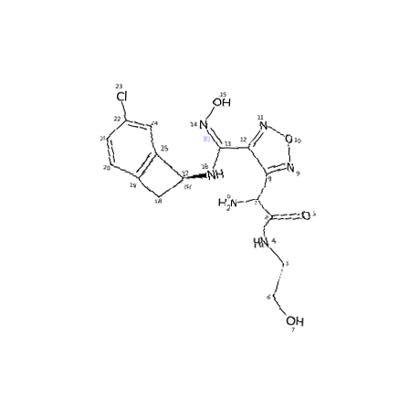 NC(C(=O)NCCO)c1nonc1/C(=N\O)N[C@H]1Cc2ccc(Cl)cc21